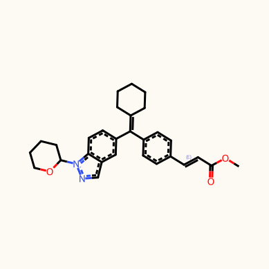 COC(=O)/C=C/c1ccc(C(=C2CCCCC2)c2ccc3c(cnn3C3CCCCO3)c2)cc1